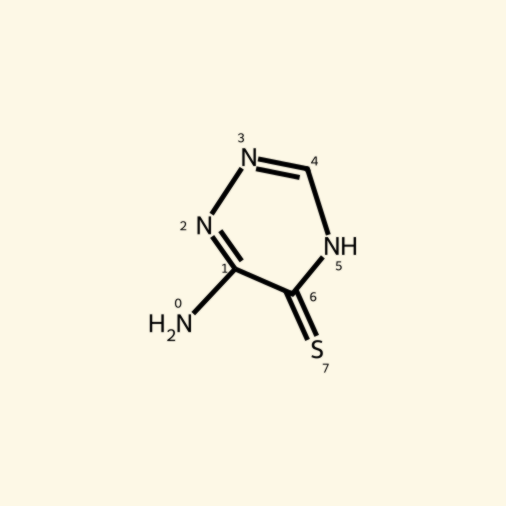 Nc1nnc[nH]c1=S